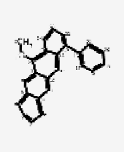 COc1c2cc3ccccc3cc2cc2c(-c3cc[c]cc3)cccc12